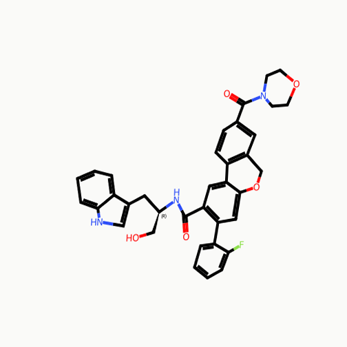 O=C(N[C@@H](CO)Cc1c[nH]c2ccccc12)c1cc2c(cc1-c1ccccc1F)OCc1cc(C(=O)N3CCOCC3)ccc1-2